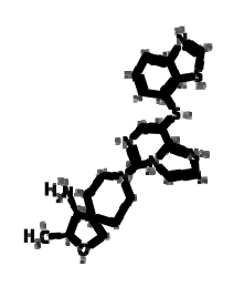 C[C@@H]1OCC2(CCN(c3ncc(Sc4cccc5ncsc45)c4nccn34)CC2)[C@@H]1N